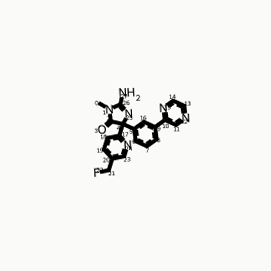 CN1C(=O)C(c2cccc(-c3cnccn3)c2)(c2ccc(CF)cn2)N=C1N